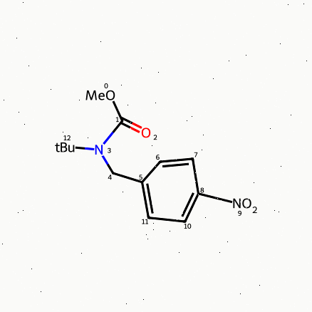 COC(=O)N(Cc1ccc([N+](=O)[O-])cc1)C(C)(C)C